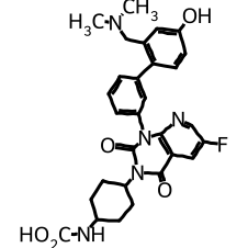 CN(C)Cc1cc(O)ccc1-c1cccc(-n2c(=O)n(C3CCC(NC(=O)O)CC3)c(=O)c3cc(F)cnc32)c1